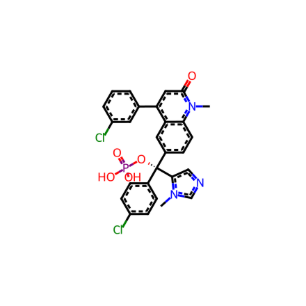 Cn1cncc1[C@@](OP(=O)(O)O)(c1ccc(Cl)cc1)c1ccc2c(c1)c(-c1cccc(Cl)c1)cc(=O)n2C